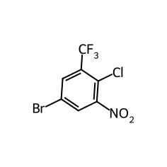 O=[N+]([O-])c1cc(Br)cc(C(F)(F)F)c1Cl